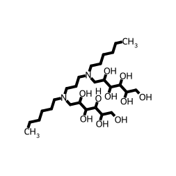 CCCCCCN(CCCN(CCCCCC)CC(O)C(O)C(O)C(O)CO)CC(O)C(O)C(O)C(O)CO